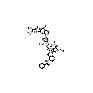 CC(C)C(=O)Nc1nc2c(ncn2[C@@H]2O[C@H](COP(O)(=S)O[C@H]3[C@H](n4cnc5c(NC(=O)c6ccccc6)ncnc54)O[C@H](CO)[C@]34CC4(F)F)[C@@H](O)[C@H]2F)c(=O)[nH]1